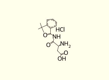 CC(C)(C)c1ccccc1C(=O)NC(=O)[C@@H](N)CC(=O)O.Cl